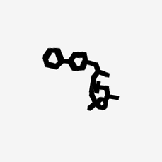 CC(Cc1ccc(-c2ccccc2)cc1)CN1CC(C)OC(C)C1